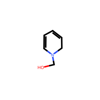 OCN1C=CC=CC1